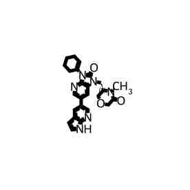 CN1C(=O)COC[C@@H]1Cn1c(=O)n(C2=CCCCC2)c2ncc(-c3cnc4[nH]ccc4c3)cc21